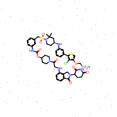 CC1(C)C[C@@H](Nc2cccc(-c3scc(OCC(=O)O)c3Cl)c2)CCN1S(=O)(=O)Cc1cccc(NC(=O)OC2CCN(C(=O)CNc3cccc4c3CN(C3CCC(=O)NC3=O)C4=O)CC2)c1